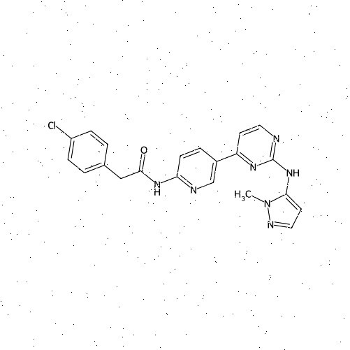 Cn1nccc1Nc1nccc(-c2ccc(NC(=O)Cc3ccc(Cl)cc3)nc2)n1